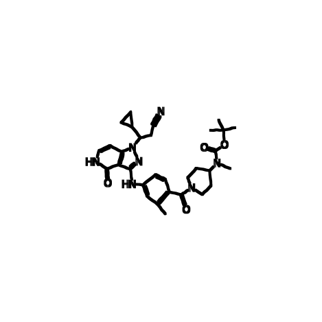 Cc1cc(Nc2nn(C(CC#N)C3CC3)c3cc[nH]c(=O)c23)ccc1C(=O)N1CCC(N(C)C(=O)OC(C)(C)C)CC1